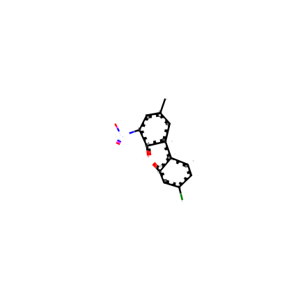 Cc1cc([N+](=O)[O-])c2oc3cc(F)ccc3c2c1